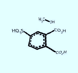 CO.O=C(O)c1ccc(S(=O)(=O)O)cc1C(=O)O